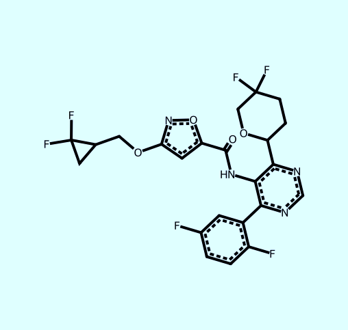 O=C(Nc1c(-c2cc(F)ccc2F)ncnc1C1CCC(F)(F)CO1)c1cc(OCC2CC2(F)F)no1